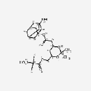 CC1(C)OC(COC(=O)C(F)(F)S(=O)(=O)O)CC(CC(=O)OC23CC4CC(CC(O)(C4)C2)C3)O1